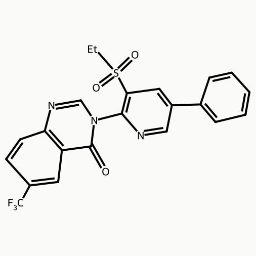 CCS(=O)(=O)c1cc(-c2ccccc2)cnc1-n1cnc2ccc(C(F)(F)F)cc2c1=O